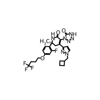 C[C@@]1(c2ccc(OCCCC(F)(F)F)cc2F)CC(c2ccn(CC3CCC3)n2)=C(n2nn[nH]c2=O)C(=O)N1